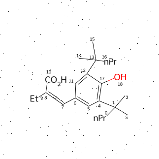 CCCC(C)(C)c1cc(C=C(CC)C(=O)O)cc(C(C)(C)CCC)c1O